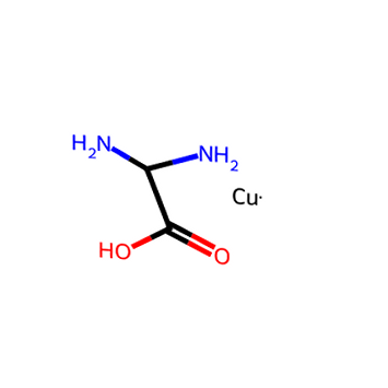 NC(N)C(=O)O.[Cu]